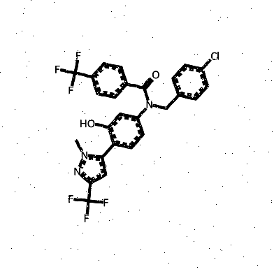 Cn1nc(C(F)(F)F)cc1-c1ccc(N(Cc2ccc(Cl)cc2)C(=O)c2ccc(C(F)(F)F)cc2)cc1O